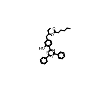 CCCCCC(=O)OC(CC)Cc1ccc(-c2nc(-c3ccccc3)nc(-c3ccccc3)n2)c(O)c1